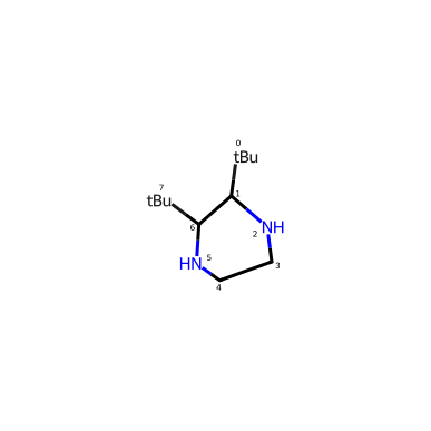 CC(C)(C)C1NCCNC1C(C)(C)C